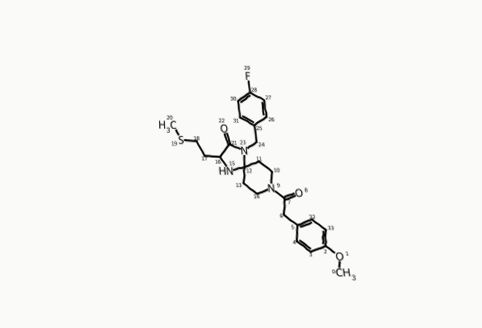 COc1ccc(CC(=O)N2CCC3(CC2)NC(CCSC)C(=O)N3Cc2ccc(F)cc2)cc1